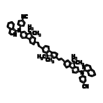 [C-]#[N+]c1ccc(N(c2ccc3c(c2)C(C)(C)c2cc(/C=C/c4ccc5c(c4)C(C)(C)c4cc(/C=C/c6ccc7c(c6)C(C)(C)c6cc(N(c8ccc(C#N)cc8)c8nccc9ccccc89)ccc6-7)ccc4-5)ccc2-3)c2nccc3ccccc23)cc1